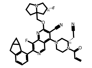 C=CC(=O)N1CCN(c2c(C#N)c(OCC34CCCN3C[C@H](F)C4)nc3c(F)c(-c4cccc5c4C4CC4C5)ncc23)C[C@@H]1CC#N